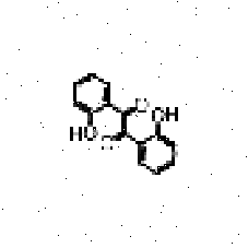 O=C(C(=O)c1ccccc1O)c1ccccc1O